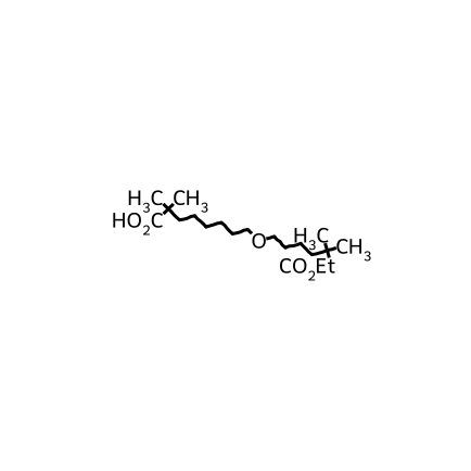 CCOC(=O)C(C)(C)CCCCOCCCCCCC(C)(C)C(=O)O